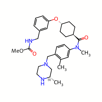 COC(=O)NCc1cccc(O[C@H]2CC[C@H](C(=O)N(C)c3ccc(CN4CCN[C@@H](C)C4)c(C)c3)CC2)c1